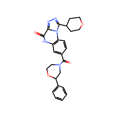 O=C(c1ccc2c(c1)[nH]c(=O)c1nnc(C3CCOCC3)n12)N1CCOC(c2ccccc2)C1